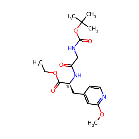 CCOC(=O)[C@H](Cc1ccnc(OC)c1)NC(=O)CNC(=O)OC(C)(C)C